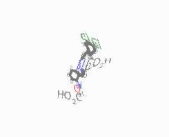 O=C(O)CO/N=C1\CCCc2c1cc(C(=O)O)n2Cc1ccc(Cl)c(Cl)c1